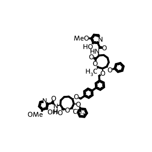 COc1ccnc(C(=O)N[C@H]2CCC[C@H](OCc3ccc(-c4cccc(CO[C@H]5[C@H](C)OC(=O)[C@@H](NC(=O)c6nccc(OC)c6O)CCC[C@@H]5Oc5ccccc5)c4)cc3)[C@@H](Oc3ccccc3)[C@H](C)OC2=O)c1O